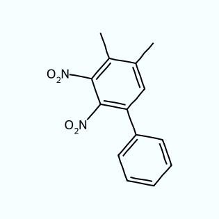 Cc1cc(-c2ccccc2)c([N+](=O)[O-])c([N+](=O)[O-])c1C